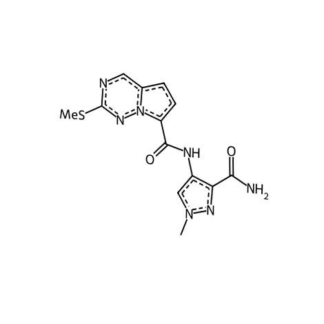 CSc1ncc2ccc(C(=O)Nc3cn(C)nc3C(N)=O)n2n1